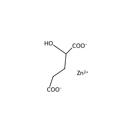 O=C([O-])CCC(O)C(=O)[O-].[Zn+2]